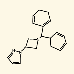 C1=CCC(C(C2=CCCC=C2)N2CC(n3cccn3)C2)C=C1